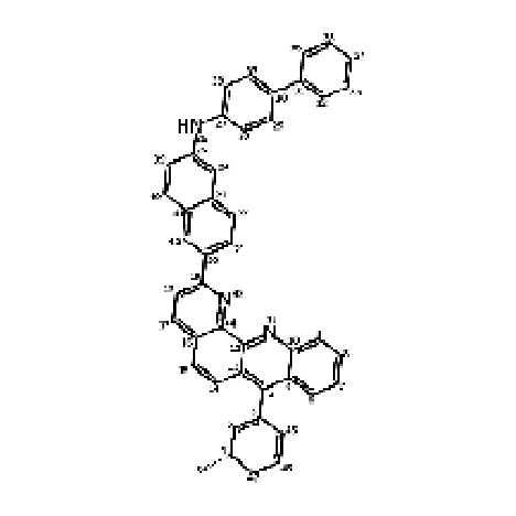 C[C@@H]1C=C(c2c3ccccc3nc3c2ccc2ccc(-c4ccc5cc(Nc6ccc(-c7ccccc7)cc6)ccc5c4)nc23)C=CC1